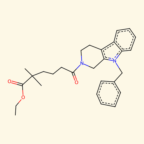 CCOC(=O)C(C)(C)CCCC(=O)N1CCc2c(n(Cc3ccccc3)c3ccccc23)C1